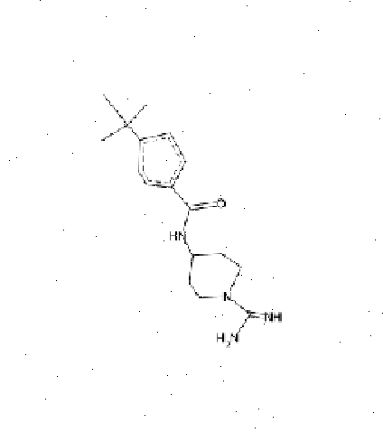 CC(C)(C)c1ccc(C(=O)NC2CCN(C(=N)N)CC2)cc1